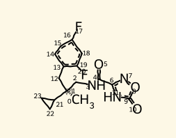 C[C@@](CNC(=O)c1noc(=O)[nH]1)(Cc1ccc(F)cc1F)C1CC1